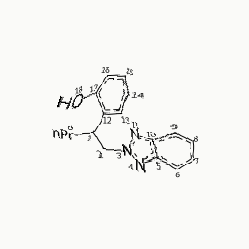 CCCC(Cn1nc2ccccc2n1)c1ccccc1O